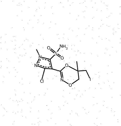 Cn1nc(Cl)c(C2=NOCC(C)(CI)O2)c1S(N)(=O)=O